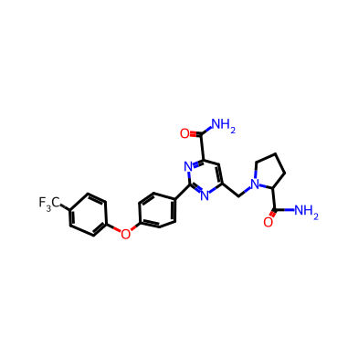 NC(=O)c1cc(CN2CCCC2C(N)=O)nc(-c2ccc(Oc3ccc(C(F)(F)F)cc3)cc2)n1